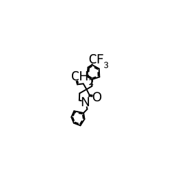 C=CCC1(Cc2ccc(C(F)(F)F)cc2)CCN(Cc2ccccc2)C1=O